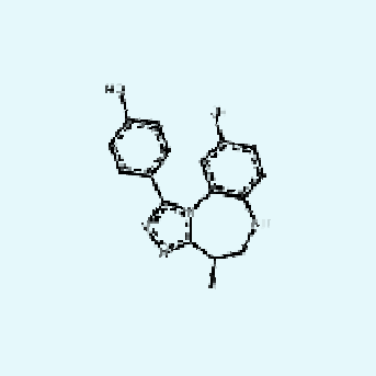 C[C@@H]1CNc2ccc(O)cc2-n2c(-c3ccc(O)cc3)nnc21